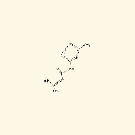 C/C(N)=C/C(=O)Nc1cccc(C)n1